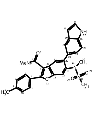 CNC(=O)c1c(-c2ccc(C)cc2)oc2cc(N(C)S(C)(=O)=O)c(-c3ccc4[nH]ccc4c3)cc12